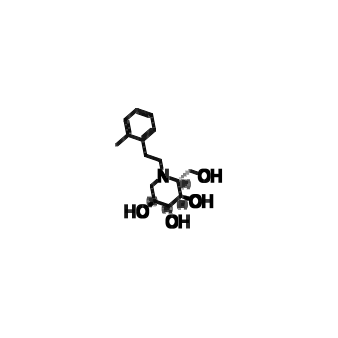 Cc1ccccc1CCN1C[C@H](O)[C@@H](O)[C@H](O)[C@H]1CO